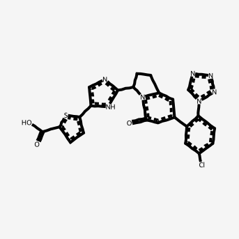 O=C(O)c1ccc(-c2cnc(C3CCc4cc(-c5cc(Cl)ccc5-n5cnnn5)cc(=O)n43)[nH]2)s1